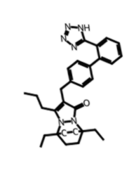 CCCc1c(Cc2ccc(-c3ccccc3-c3nnn[nH]3)cc2)c(=O)n2n1C1(CC)CCC2(CC)CC1